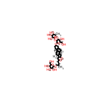 CC1O[C@@H](OC2[C@H](O[C@H]3CC[C@@]4(C)C(=CC[C@@H]5[C@@H]4CC[C@]4(C)C(CC(=O)CC[C@@H](C)CO[C@@H]6OC(CO)[C@@H](O)[C@H](O)C6O)C(=O)C[C@@H]54)C3)OC(CO)[C@@H](O)[C@@H]2O)C(O)[C@@H](O)[C@H]1O